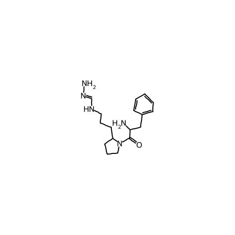 NN=CNCCCC1CCCN1C(=O)C(N)Cc1ccccc1